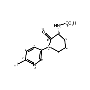 O=C(O)N[C@@H]1CCCN(c2ccc(I)nc2)C1=O